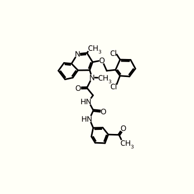 CC(=O)c1cccc(NC(=O)NCC(=O)N(C)c2c(OCc3c(Cl)cccc3Cl)c(C)nc3ccccc23)c1